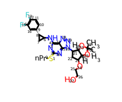 CCCSc1nc(NC2C[C@@H]2c2ccc(F)c(F)c2)c2nnn(C3C[C@H](OCCO)[C@H]4OC(C)(C)O[C@@H]34)c2n1